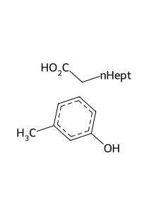 CCCCCCCCC(=O)O.Cc1cccc(O)c1